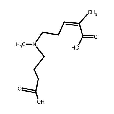 CC(=CCCN(C)CCCC(=O)O)C(=O)O